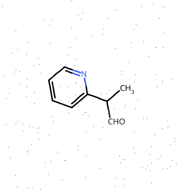 CC(C=O)c1ccccn1